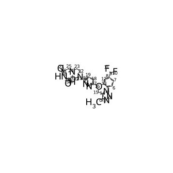 Cc1nnn(-c2ccc(C(F)F)cc2)c1COc1ccc(N2CCN3CC(=O)NC(=O)[C@@H]3C2)nn1